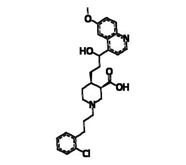 COc1ccc2nccc(C(O)CC[C@@H]3CCN(CCCc4ccccc4Cl)C[C@@H]3C(=O)O)c2c1